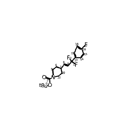 CC(C)(C)OC(=O)N1CCC(C=CC(F)(F)c2ccc(F)cc2)CC1